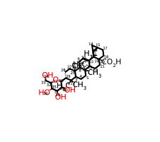 CC1(C)C2CC[C@]3(C)C(CC=C4C5C6C[C@@]6(C)CC[C@]5(C(=O)O)CC[C@]43C)[C@@]2(C)CC[C@H]1[C@@H]1OC(CO)[C@H](O)C(O)C1O